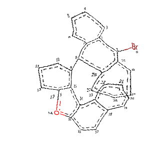 Brc1c2ccccc2c(-c2cccc3oc4ccc5ccccc5c4c23)c2ccccc12